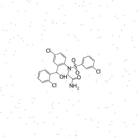 NC(=O)CN(c1ccc(Cl)cc1C(O)c1ccccc1Cl)S(=O)(=O)c1cccc(Cl)c1